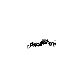 O=C(O)N(C[C@H](O)COc1cccc(C[SH](=O)=O)c1)C1COC2(CCN(S(=O)(=O)c3cccc(Br)c3)CC2)C1